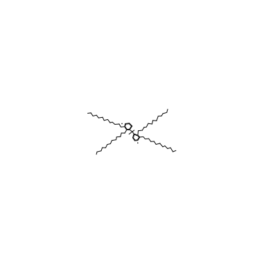 CCCCCCCCCCCCCc1[c]ccc(C(C)(C)c2cc[c]c(CCCCCCCCCCCCC)c2CCCCCCCCCCCCC)c1CCCCCCCCCCCCC